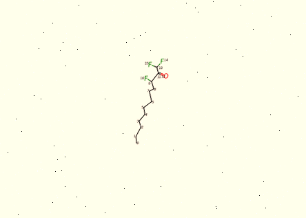 CCCCCCCCCC(F)C(=O)C(F)F